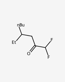 CCCCC(CC)CC(=O)C(F)F